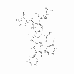 C[C@](CCC(F)F)(NC(=O)OC(c1ccccc1)C(F)(F)c1cccc(Cl)c1)C(=O)N[C@@H](C[C@@H]1CCNC1=O)C(=O)C(=O)NC1CC1